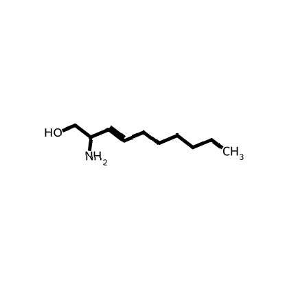 CCCCCC/C=C/C(N)CO